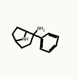 NC1(c2ccccc2)CCC2CCC1N2